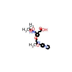 Cc1oc(-c2ccc(N3CCCCC3)cc2)nc1CCOc1ccc(CCC(=O)O)c(CNC(=O)OC(C)C)c1